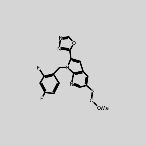 COOSc1cnc2c(c1)cc(-c1nnco1)n2Cc1ccc(F)cc1F